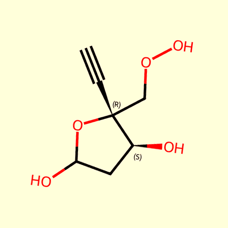 C#C[C@]1(COO)OC(O)C[C@@H]1O